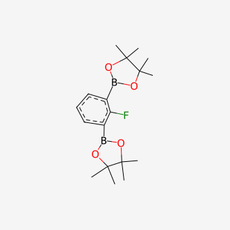 CC1(C)OB(c2cccc(B3OC(C)(C)C(C)(C)O3)c2F)OC1(C)C